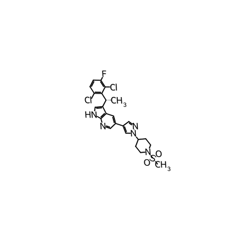 C[C@@H](c1c(Cl)ccc(F)c1Cl)c1c[nH]c2ncc(-c3cnn(C4CCN(S(C)(=O)=O)CC4)c3)cc12